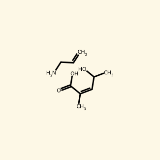 C=CCN.CC(=CC(C)O)C(=O)O